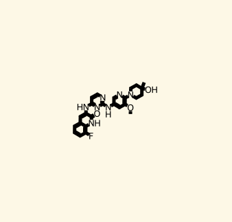 COc1cc(Nc2nccc(Nc3cc4cccc(F)c4[nH]c3=O)n2)cnc1N1CCC(C)(O)CC1